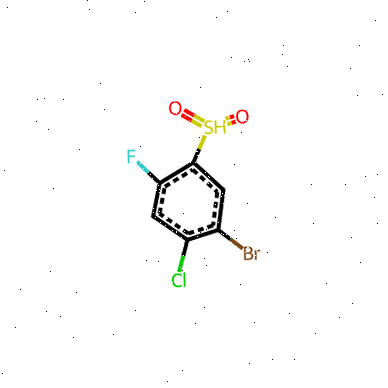 O=[SH](=O)c1cc(Br)c(Cl)cc1F